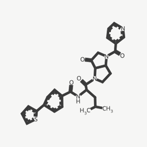 CC(C)CC(NC(=O)c1ccc(-c2cccs2)cc1)C(=O)N1CCC2C1C(=O)CN2C(=O)c1cccnc1